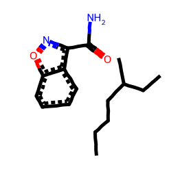 CCCCC(C)CC.NC(=O)c1noc2ccccc12